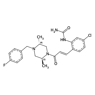 C[C@@H]1CN(C(=O)C=Cc2ccc(Cl)cc2NC(N)=O)[C@@H](C)CN1Cc1ccc(F)cc1